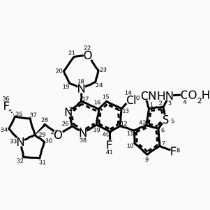 N#Cc1c(NC(=O)O)sc2c(F)ccc(-c3c(Cl)cc4c(N5CCCOCC5)nc(OC[C@@]56CCCN5C[C@H](F)C6)nc4c3F)c12